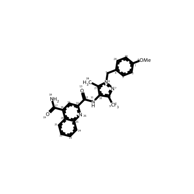 COc1ccc(Cn2nc(C(F)(F)F)c(NC(=O)c3cc(C(N)=O)c4ccccc4n3)c2C)cc1